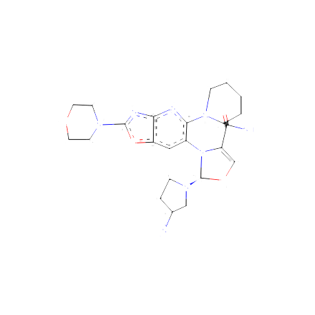 NC(=O)C1=CO[C@@H](N2CCC(N)C2)N1c1cc2oc(N3CCOCC3)nc2nc1N1CCCCC1